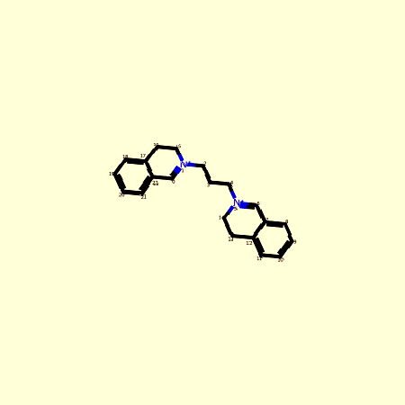 C1=[N+](CCC[N+]2=Cc3ccccc3CC2)CCc2ccccc21